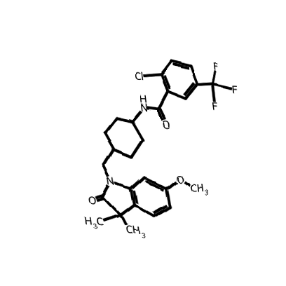 COc1ccc2c(c1)N(CC1CCC(NC(=O)c3cc(C(F)(F)F)ccc3Cl)CC1)C(=O)C2(C)C